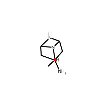 CPN1C2CC(N)CC1N2